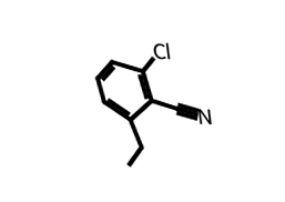 CCc1cccc(Cl)c1C#N